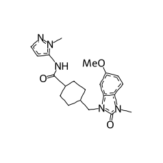 COc1ccc2c(c1)n(CC1CCC(C(=O)Nc3ccnn3C)CC1)c(=O)n2C